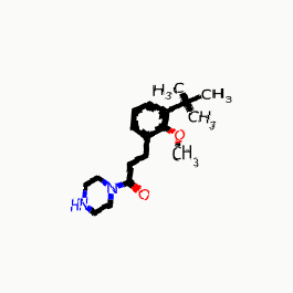 COc1c(CCC(=O)N2CCNCC2)cccc1C(C)(C)C